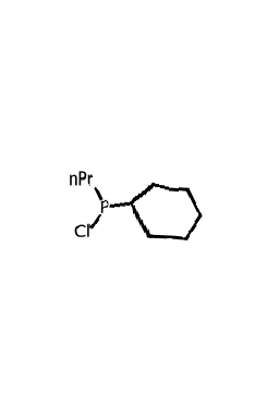 CCCP(Cl)C1CCCCC1